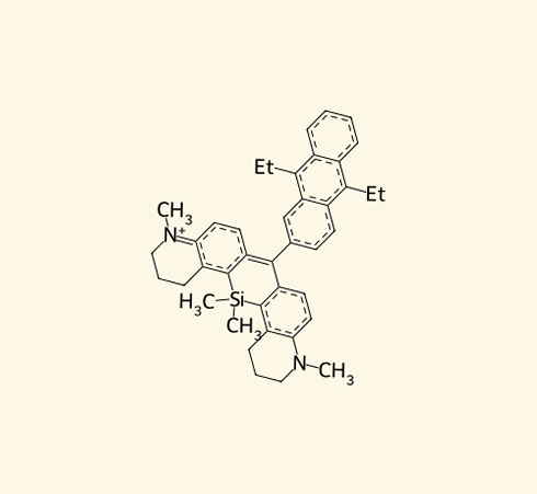 CCc1c2ccccc2c(CC)c2cc(C3=c4ccc5c(c4[Si](C)(C)c4c3ccc3c4CCCN3C)CCC[N+]=5C)ccc12